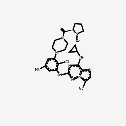 CC(=O)N1CCC[C@@H]1C(=O)N1CCN(c2cc(C#N)cc(Nc3nc(NC4CC4)c4ncc(C#N)n4n3)c2Cl)CC1